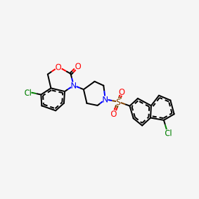 O=C1OCc2c(Cl)cccc2N1C1CCN(S(=O)(=O)c2ccc3c(Cl)cccc3c2)CC1